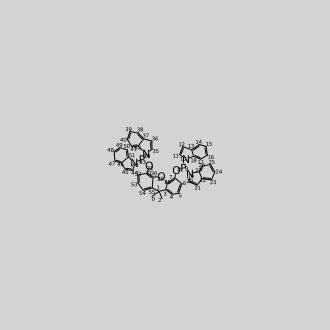 CC1(C)c2cccc(OP(n3ccc4ccccc43)n3ccc4ccccc43)c2Oc2c(OP(n3ccc4ccccc43)n3ccc4ccccc43)cccc21